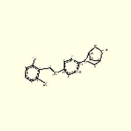 Clc1cccc(Cl)c1COc1cnc(N2CC3CC2CO3)nc1